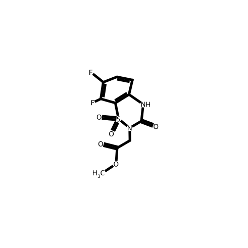 COC(=O)CN1C(=O)Nc2ccc(F)c(F)c2S1(=O)=O